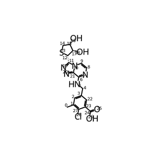 Cc1cc(CNc2nccn3c([C@@H]4SC[C@@H](O)[C@H]4O)nnc23)cc(C(=O)O)c1Cl